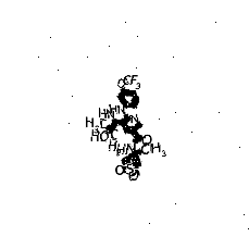 CC1(NC(=O)c2cnc(Nc3cccc(OC(F)(F)F)c3)c(C(=N)C(C)(C)O)c2)CS(=O)(=O)C1